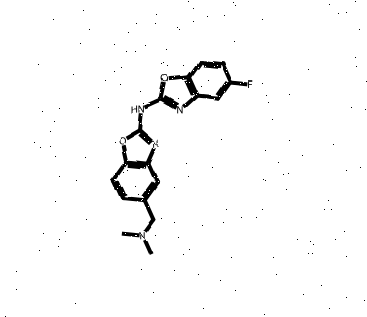 CN(C)Cc1ccc2oc(Nc3nc4cc(F)ccc4o3)nc2c1